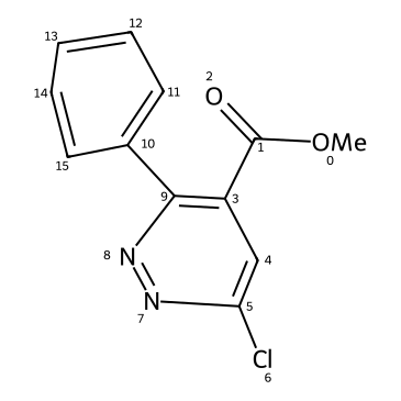 COC(=O)c1cc(Cl)nnc1-c1ccccc1